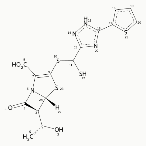 C[C@@H](O)[C@H]1C(=O)N2C(C(=O)O)=C(SC(S)c3n[nH]c(-c4cccs4)n3)S[C@H]12